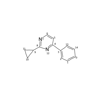 c1ccc(-c2ccnc(C3CC3)n2)cc1